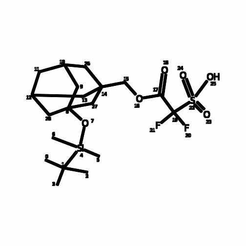 CC(C)(C)[Si](C)(C)OC12CC3CC(CC(COC(=O)C(F)(F)S(=O)(=O)O)(C3)C1)C2